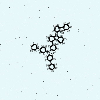 c1ccc(-c2ccc(N(c3ccc(-c4ccccc4)cc3)c3cccc(-c4cccc5c4c4ccccc4n5-c4cccc5c4sc4ccccc45)c3)cc2)cc1